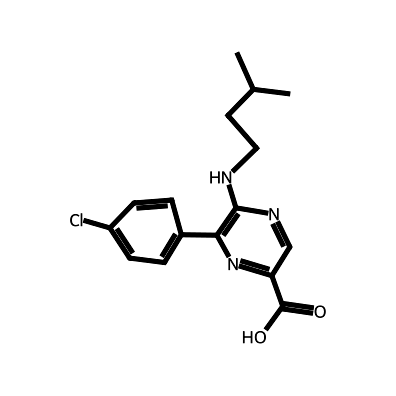 CC(C)CCNc1ncc(C(=O)O)nc1-c1ccc(Cl)cc1